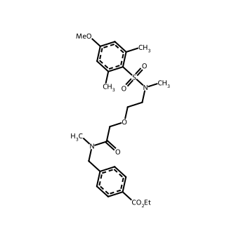 CCOC(=O)c1ccc(CN(C)C(=O)COCCN(C)S(=O)(=O)c2c(C)cc(OC)cc2C)cc1